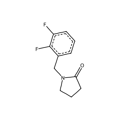 O=C1CCCN1Cc1cccc(F)c1F